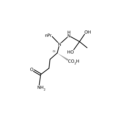 CCCN(NC(C)(O)O)[C@@H](CCC(N)=O)C(=O)O